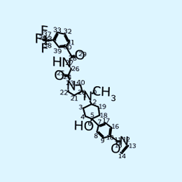 CN(C1CCC(O)(c2ccc(-c3ncco3)cc2)CC1)C1CCN(C(=O)CNC(=O)c2cccc(C(F)(F)F)c2)C1